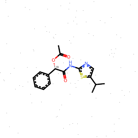 CC(=O)O[C@H](C(=O)Nc1ncc(C(C)C)s1)c1ccccc1